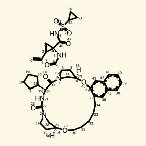 C=CC1C[C@]1(NC(=O)[C@@H]1C[C@@H]2CN1C(=O)[C@H](C1CCCC1)NC(=O)N1CC[C@@H](C1)OCCCCCc1cc3ccccc3cc1O2)C(=O)NS(=O)(=O)C1CC1